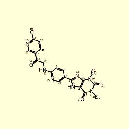 CCn1c(=O)c2[nH]c(-c3ccc(NCC(=O)c4ccc(Cl)nc4)nc3)nc2n(CC)c1=O